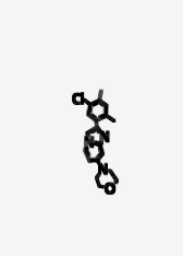 Cc1cc(C)c(-c2cn3ccc(N4CCOCC4)cc3n2)cc1Cl